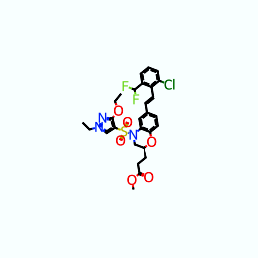 CCOc1nn(CC)cc1S(=O)(=O)N1C[C@H](CCC(=O)OC)Oc2ccc(/C=C/c3c(Cl)cccc3C(F)F)cc21